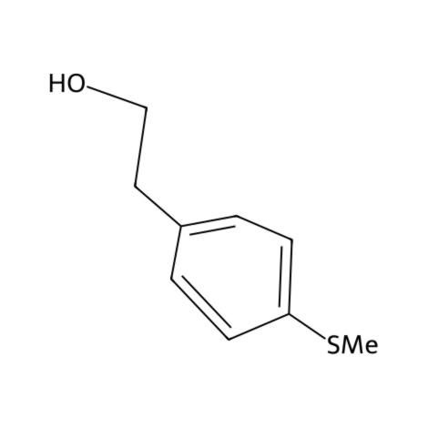 CSc1ccc(CCO)cc1